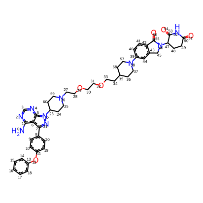 Nc1ncnc2c1c(-c1ccc(Oc3ccccc3)cc1)nn2C1CCN(CCOCCOCCC2CCN(c3ccc4c(c3)CN(C3CCC(=O)NC3=O)C4=O)CC2)CC1